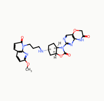 COc1ccc2ccc(=O)n(CCCN[C@@H]3CC[C@@H]4[C@@H](C3)OC(=O)N4c3ncc4c(n3)NC(=O)CO4)c2n1